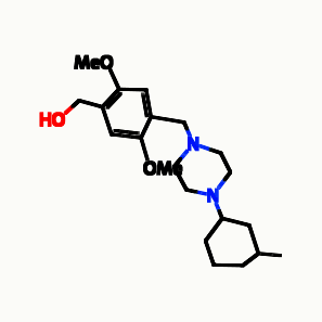 COc1cc(CN2CCN(C3CCCC(C)C3)CC2)c(OC)cc1CO